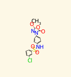 COc1nn(-c2ccc(NS(=O)(=O)c3cccc(Cl)c3)cc2)c(=O)o1